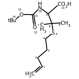 C=CCCCSC(C)(C)C(NC(=O)OC(C)(C)C)C(=O)O